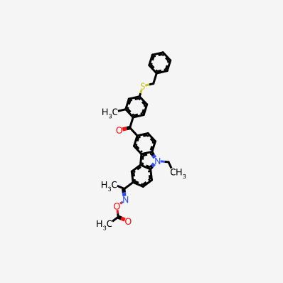 CCn1c2ccc(C(=O)c3ccc(SCc4ccccc4)cc3C)cc2c2cc(/C(C)=N/OC(C)=O)ccc21